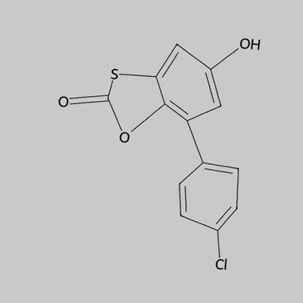 O=c1oc2c(-c3ccc(Cl)cc3)cc(O)cc2s1